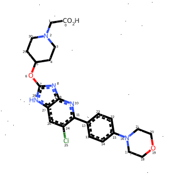 O=C(O)CN1CCC(Oc2nc3nc(-c4ccc(N5CCOCC5)cc4)c(Cl)cc3[nH]2)CC1